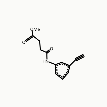 C#Cc1cccc(NC(=O)CCC(=O)OC)c1